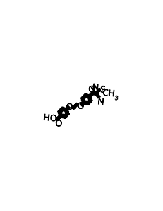 CSc1noc(-c2ccc(OCCOc3ccc(C(=O)O)cc3)cc2)c1C#N